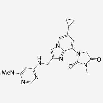 CNc1cc(NCc2cn3cc(C4CC4)cc(N4CC(=O)N(C)C4=O)c3n2)ncn1